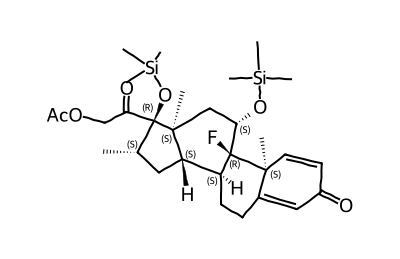 CC(=O)OCC(=O)[C@@]1(O[Si](C)(C)C)[C@@H](C)C[C@H]2[C@@H]3CCC4=CC(=O)C=C[C@]4(C)[C@@]3(F)[C@@H](O[Si](C)(C)C)C[C@@]21C